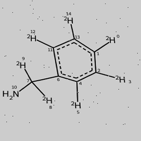 [2H]c1c([2H])c([2H])c(C([2H])([2H])N)c([2H])c1[2H]